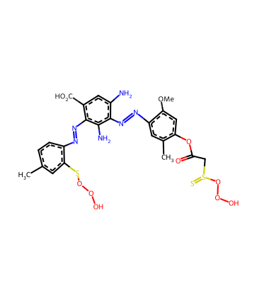 COc1cc(OC(=O)CS(=S)OOO)c(C)cc1N=Nc1c(N)cc(C(=O)O)c(N=Nc2ccc(C)cc2SOOO)c1N